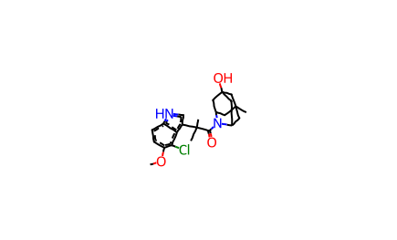 COc1ccc2[nH]cc(C(C)(C)C(=O)N3C4CC5(C)CC3CC(O)(C4)C5)c2c1Cl